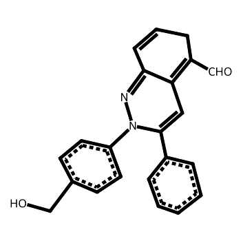 O=CC1=C2C=C(c3ccccc3)N(c3ccc(CO)cc3)N=C2C=CC1